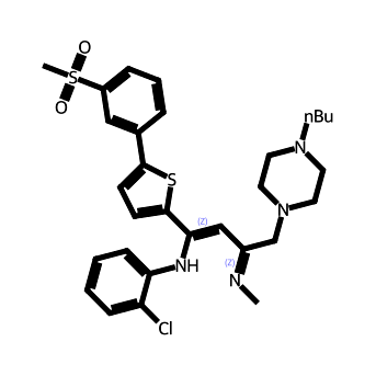 CCCCN1CCN(CC(/C=C(\Nc2ccccc2Cl)c2ccc(-c3cccc(S(C)(=O)=O)c3)s2)=N\C)CC1